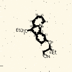 CCOC(=O)c1c2ccc(OC(CC)CC#N)cc2n2ccccc12